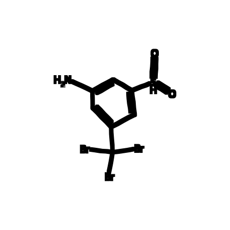 Nc1cc([SH](=O)=O)cc(C(Br)(Br)Br)c1